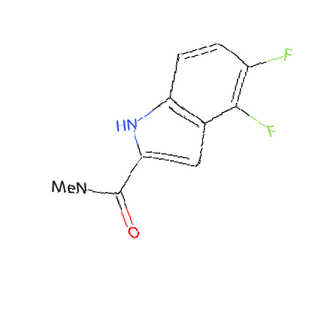 CNC(=O)c1cc2c(F)c(F)ccc2[nH]1